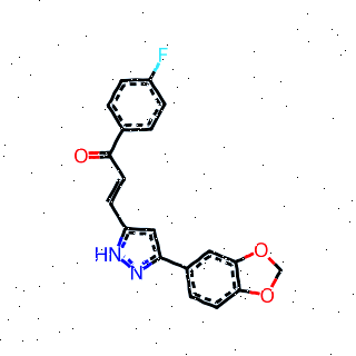 O=C(C=Cc1cc(-c2ccc3c(c2)OCO3)n[nH]1)c1ccc(F)cc1